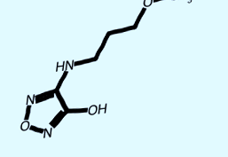 COCCCNc1nonc1O